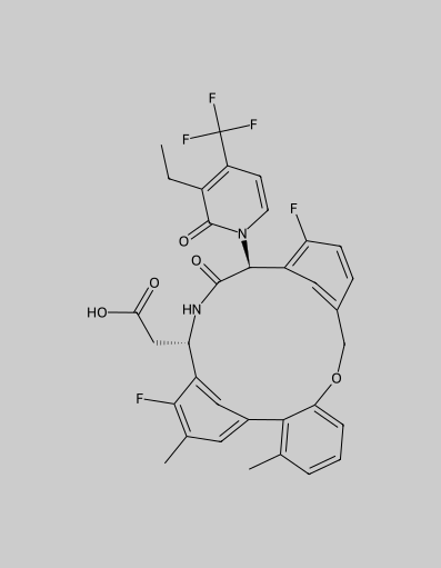 CCc1c(C(F)(F)F)ccn([C@@H]2C(=O)N[C@@H](CC(=O)O)c3cc(cc(C)c3F)-c3c(C)cccc3OCc3ccc(F)c2c3)c1=O